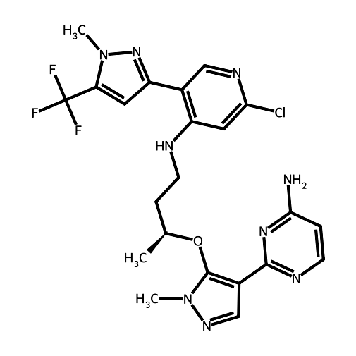 C[C@@H](CCNc1cc(Cl)ncc1-c1cc(C(F)(F)F)n(C)n1)Oc1c(-c2nccc(N)n2)cnn1C